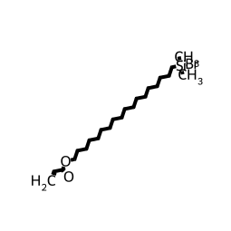 C=CC(=O)OCCCCCCCCCCCCCCCCCC[Si](C)(C)Br